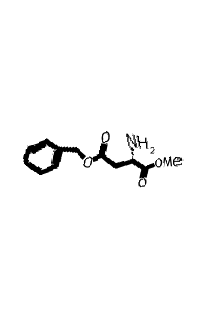 COC(=O)[C@@H](N)CC(=O)OCc1ccccc1